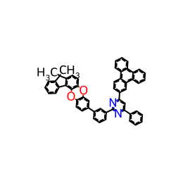 CC1(C)c2ccccc2-c2c1ccc1c2Oc2ccc(-c3cccc(-c4nc(-c5ccccc5)cc(-c5ccc6c7ccccc7c7ccccc7c6c5)n4)c3)cc2O1